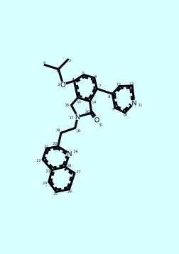 CC(C)Oc1ccc(-c2ccncc2)c2c1CN(CCc1ccc3ccccc3n1)C2=O